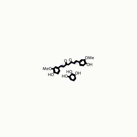 COc1cc(/C=C/C(=O)CC(=O)/C=C/c2ccc(O)c(OC)c2)ccc1O.Oc1cccc(O)c1O